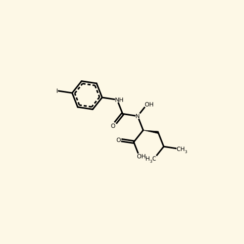 CC(C)C[C@@H](C(=O)O)N(O)C(=O)Nc1ccc(I)cc1